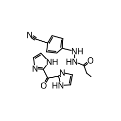 CCC(=O)NNc1ccc(C#N)cc1.O=C(c1ncc[nH]1)c1ncc[nH]1